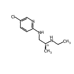 CCN[C@@H](C)CNc1ccc(Cl)cn1